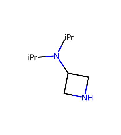 CC(C)N(C(C)C)C1CNC1